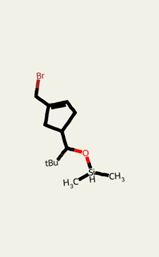 C[SiH](C)OC(C1CC=C(CBr)C1)C(C)(C)C